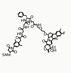 C=C1OCc2c(cc3n(c2=O)C2c4c-3nc3cc(F)c(C)cc3c4C[C@@H]2OCCOCNC(=O)CNC(=O)[C@H](Cc2ccccc2)NC(=O)CNC(=O)CNC(=O)C(=O)Cc2c(C)cc(N3C(=O)CC(SC)C3=O)cc2C)[C@@]1(O)CC